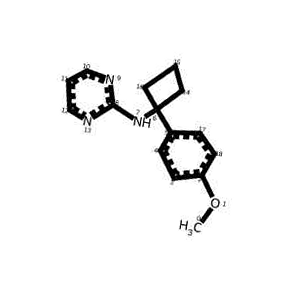 COc1ccc(C2(Nc3ncccn3)CCC2)cc1